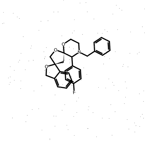 Fc1ccc(C2N(Cc3ccccc3)CCO[C@@]23C[C@]2(CO3)OCc3ccccc32)cc1